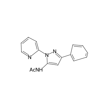 CC(=O)Nc1cc(-c2ccccc2)nn1-c1ccccn1